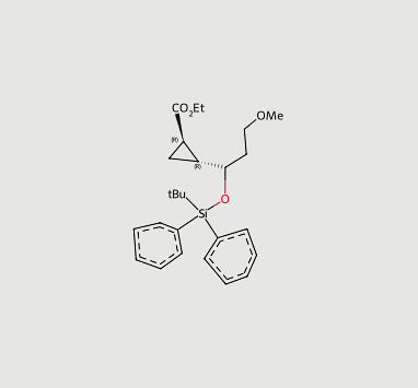 CCOC(=O)[C@@H]1C[C@H]1C(CCOC)O[Si](c1ccccc1)(c1ccccc1)C(C)(C)C